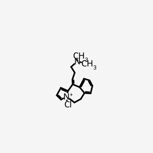 CN(C)CCC=C1C2=CC=C[N+]2(Cl)CCc2ccccc21